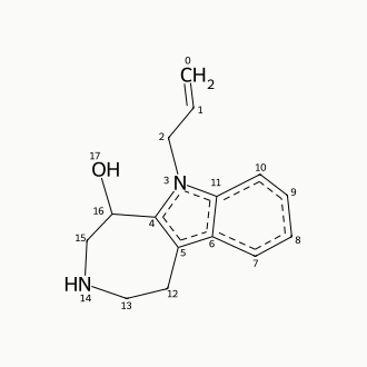 C=CCn1c2c(c3ccccc31)CCNCC2O